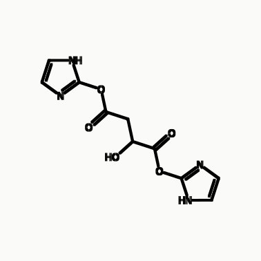 O=C(CC(O)C(=O)Oc1ncc[nH]1)Oc1ncc[nH]1